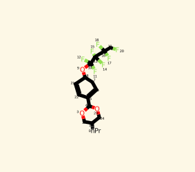 CCCC1COC(C2=CCC(OC(F)(F)C(F)(F)C(F)(F)CF)C=C2)OC1